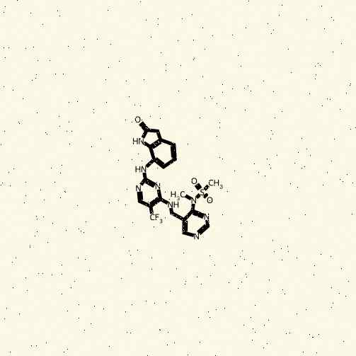 CN(c1ncncc1CNc1nc(Nc2cccc3c2NC(=O)C3)ncc1C(F)(F)F)S(C)(=O)=O